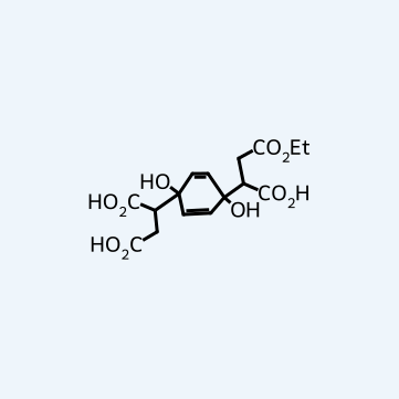 CCOC(=O)CC(C(=O)O)C1(O)C=CC(O)(C(CC(=O)O)C(=O)O)C=C1